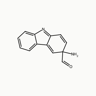 NC1(C=O)C=CC2=Nc3ccccc3C2=C1